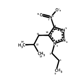 CCCn1nnc([N+](=O)[O-])c1CC(C)C